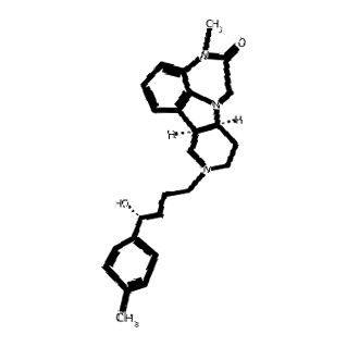 Cc1ccc([C@H](O)CCCN2CC[C@H]3[C@@H](C2)c2cccc4c2N3CC(=O)N4C)cc1